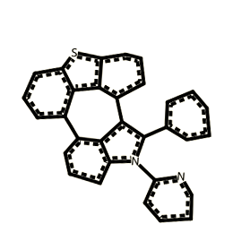 c1ccc(-c2c3c4c(cccc4n2-c2ccccn2)-c2cccc4sc5cccc-3c5c24)cc1